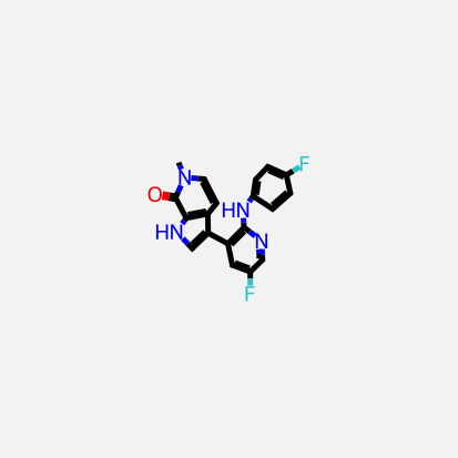 Cn1ccc2c(-c3cc(F)cnc3Nc3ccc(F)cc3)c[nH]c2c1=O